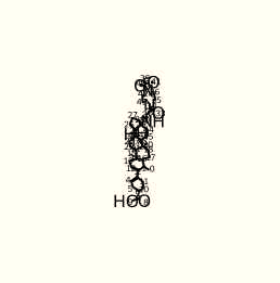 CC1C(C2=CC[C@H](C(=O)O)CC2)=CC[C@@]2(C)C1CC[C@]1(C)C2CC[C@@H]2[C@H]3CCC[C@]3(NCC(=O)N3CCN(S(C)(=O)=O)CC3)CC[C@]21C